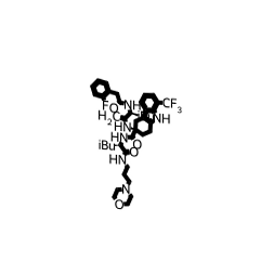 C=C(N[C@]1(C(=O)N[C@H](C(=O)NCCCN2CCOCC2)C(C)CC)CCc2[nH]c3c(C(F)(F)F)cccc3c2C1)[C@@H](NC(=O)Cc1ccccc1F)C(C)CC